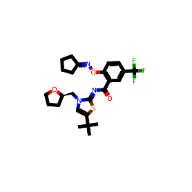 CC(C)(C)c1cn(C[C@H]2CCCO2)/c(=N/C(=O)c2cc(C(F)(F)F)ccc2ON=C2CCCC2)s1